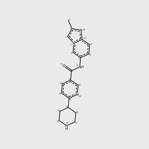 Cc1cn2cc(NC(=O)c3ccc(C4CCNCC4)nc3)ccc2n1